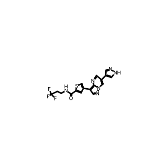 O=C(NCCC(F)(F)F)c1cc(-c2cnn3cc(-c4cn[nH]c4)cnc23)cs1